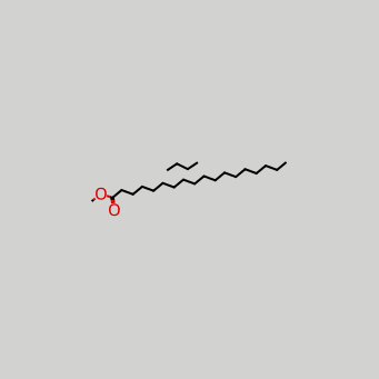 CCCC.CCCCCCCCCCCCCCCCCC(=O)OC